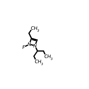 CCc1cn(C(CC)CC)n1F